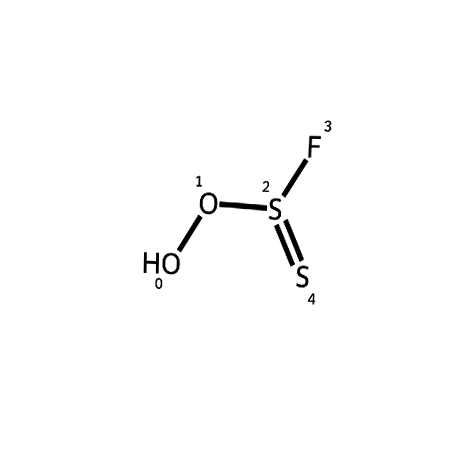 OOS(F)=S